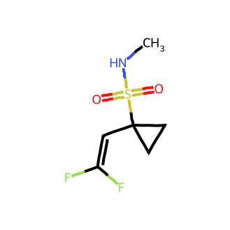 CNS(=O)(=O)C1(C=C(F)F)CC1